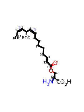 CCCCC/C=C\C/C=C\CCCCCCCC(=O)OC[C@H](N)C(=O)O